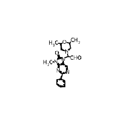 CC1CN(C(C=O)n2c(=O)n(C)c3nc(-c4ccccc4)ncc32)CC(C)O1